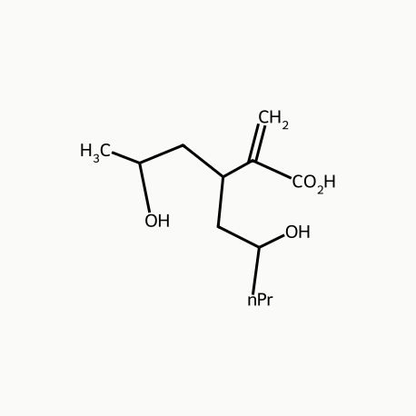 C=C(C(=O)O)C(CC(C)O)CC(O)CCC